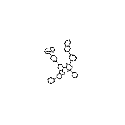 c1ccc(-c2ccc3oc4c(-c5nc(-c6ccccc6)nc(-c6cccc(-c7ccc8ccccc8c7)c6)n5)cc(-c5ccc(C67CC8CC(CC(C8)C6)C7)cc5)cc4c3c2)cc1